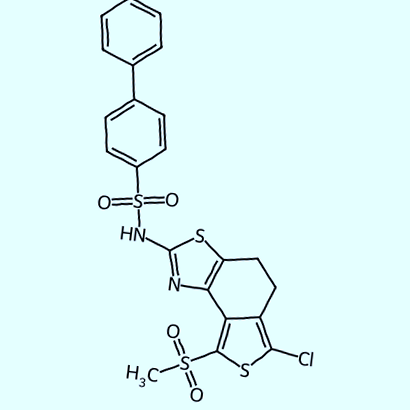 CS(=O)(=O)c1sc(Cl)c2c1-c1nc(NS(=O)(=O)c3ccc(-c4ccccc4)cc3)sc1CC2